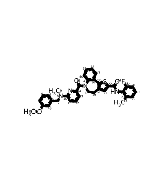 COc1cccc(CN(C)c2cccc(C(=O)N3CCc4cc(C(=O)Nc5c(C)cccc5F)sc4-c4ccccc43)n2)c1